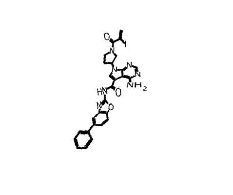 C=C(I)C(=O)N1CCC(n2cc(C(=O)Nc3nc4cc(-c5ccccc5)ccc4o3)c3c(N)ncnc32)C1